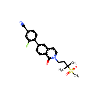 CC(C)(CCn1ccc2cc(-c3ccc(C#N)cc3F)ccc2c1=O)S(C)(=O)=O